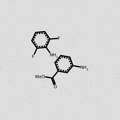 COC(=O)c1cccc(N)c1.Nc1c(F)cccc1F